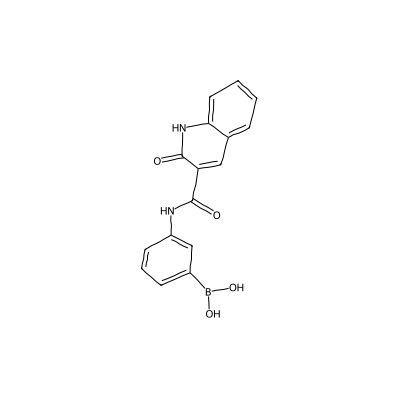 O=C(Nc1cccc(B(O)O)c1)c1cc2ccccc2[nH]c1=O